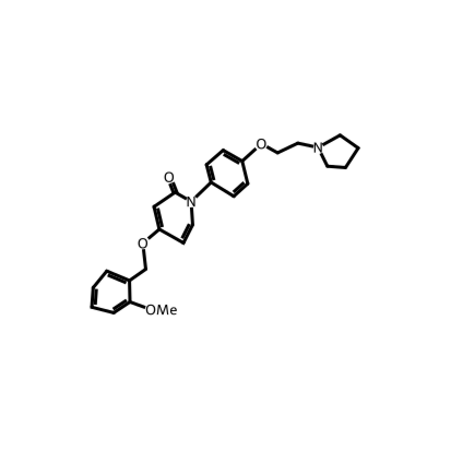 COc1ccccc1COc1ccn(-c2ccc(OCCN3CCCC3)cc2)c(=O)c1